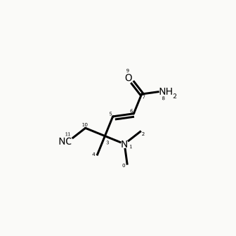 CN(C)C(C)(C=CC(N)=O)CC#N